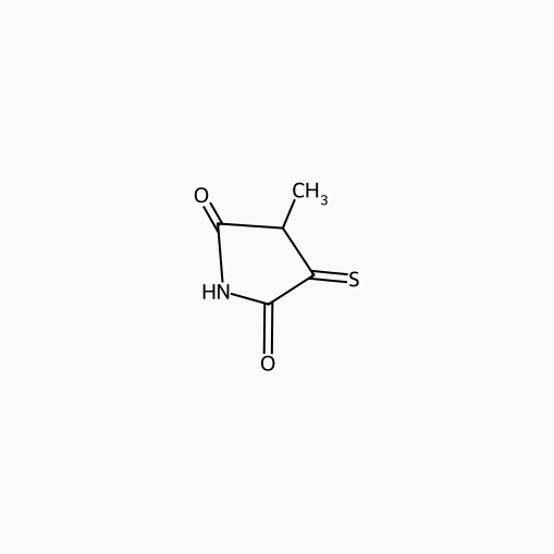 CC1C(=O)NC(=O)C1=S